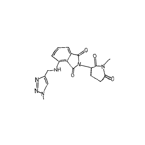 CN1C(=O)CCC(N2C(=O)c3cccc(NCc4cn(C)nn4)c3C2=O)C1=O